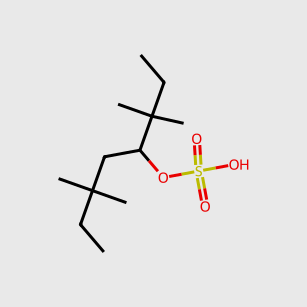 CCC(C)(C)CC(OS(=O)(=O)O)C(C)(C)CC